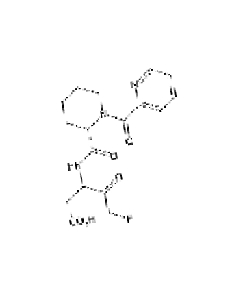 O=C(O)CC(NC(=O)[C@@H]1CCCCN1C(=O)c1ccccn1)C(=O)CF